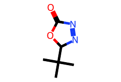 CC(C)(C)C1N=NC(=O)O1